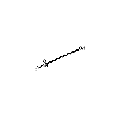 NCCNC(=O)CCCCCCCCCCCCCCCCCO